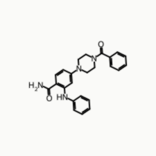 NC(=O)c1ccc(N2CCN(C(=O)c3ccccc3)CC2)cc1Nc1ccccc1